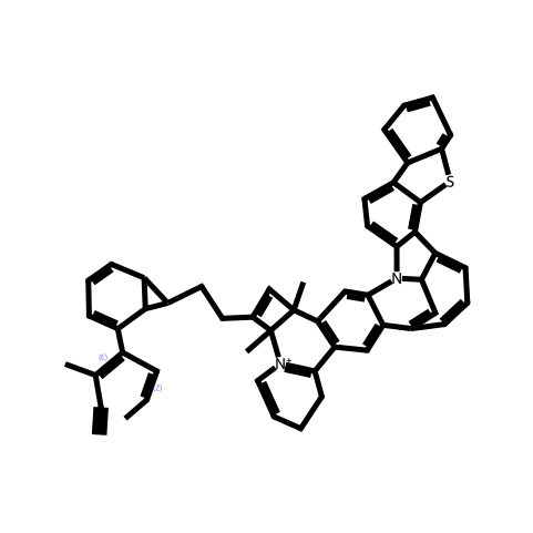 C#C/C(C)=C(\C=C/C)C1=CC=CC2C(CCC3=CC4(C)c5cc6c(cc5C5=[N+](C=CCC5)C34C)C3=CC4C(=CC=C3)c3c(ccc5c3sc3ccccc35)N64)C12